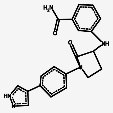 NC(=O)c1cccc(NC2CCN(c3ccc(-c4cn[nH]c4)cc3)C2=O)c1